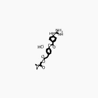 CN(C)C(=O)COC(=O)Cc1ccc(OC(=O)c2ccc(NC(=N)N)cc2)cc1.Cl